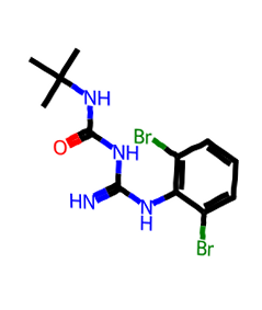 CC(C)(C)NC(=O)NC(=N)Nc1c(Br)cccc1Br